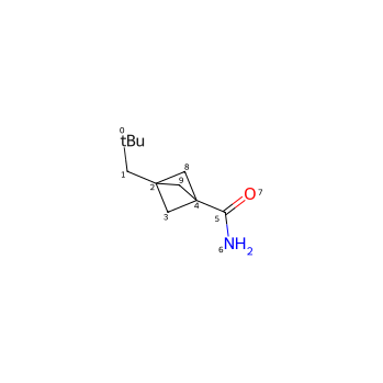 CC(C)(C)CC12CC(C(N)=O)(C1)C2